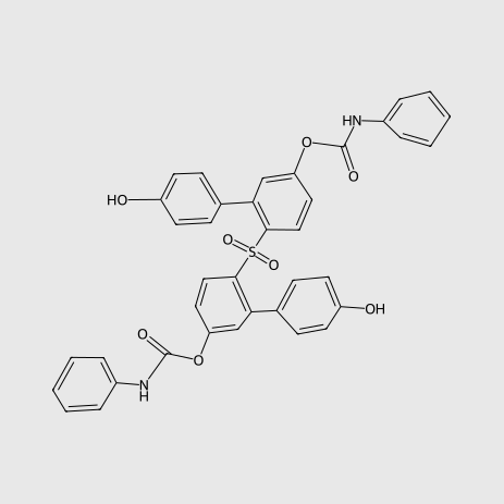 O=C(Nc1ccccc1)Oc1ccc(S(=O)(=O)c2ccc(OC(=O)Nc3ccccc3)cc2-c2ccc(O)cc2)c(-c2ccc(O)cc2)c1